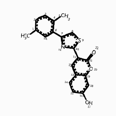 Cc1ccc(C)c(-c2csc(-c3cc4ccc(O)cc4oc3=O)n2)c1